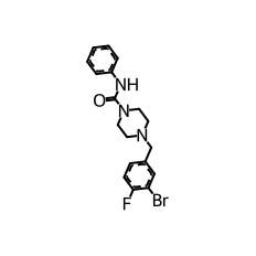 O=C(Nc1ccccc1)N1CCN(Cc2ccc(F)c(Br)c2)CC1